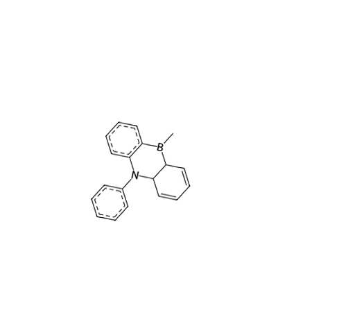 CB1c2ccccc2N(c2ccccc2)C2C=CC=CC12